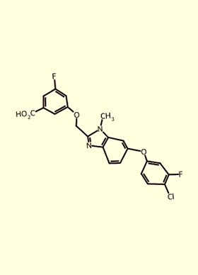 Cn1c(COc2cc(F)cc(C(=O)O)c2)nc2ccc(Oc3ccc(Cl)c(F)c3)cc21